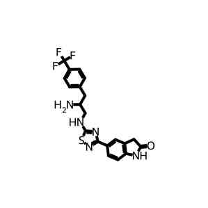 NC(CNc1nc(-c2ccc3c(c2)CC(=O)N3)ns1)Cc1ccc(C(F)(F)F)cc1